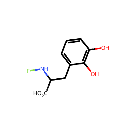 O=C(O)C(Cc1cccc(O)c1O)NF